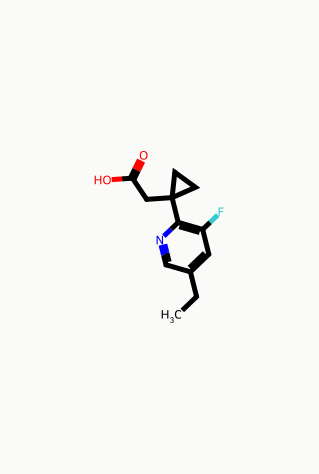 CCc1cnc(C2(CC(=O)O)CC2)c(F)c1